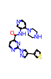 O=C(Nc1cnccc1N1CCNCC1)c1ccnc(-n2cc(-c3ccsc3)cn2)n1